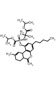 C=C1Oc2cc(CCCCC)cc(OP(=O)(NC(C)(C)C(=O)OC(C)C)C(=O)OC(C)C)c2C2C=C(C)CCC12